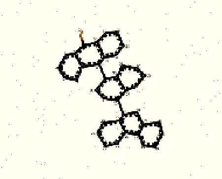 Brc1c2ccccc2c(-c2ccc(-c3cc4ccccc4c4ccccc34)c3ccccc23)c2ccccc12